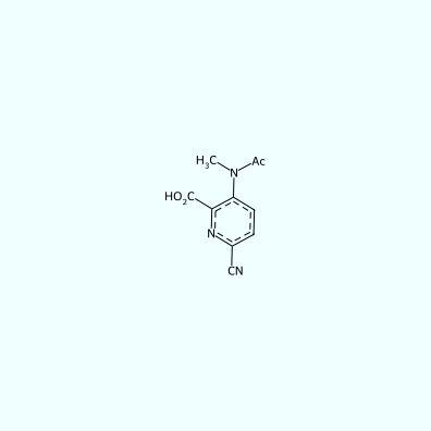 CC(=O)N(C)c1ccc(C#N)nc1C(=O)O